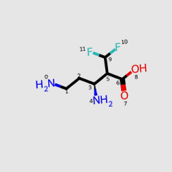 NCC[C@H](N)C(C(=O)O)C(F)F